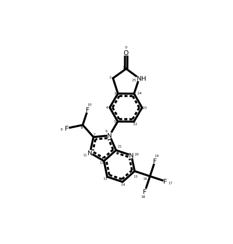 O=C1Cc2cc(-n3c(C(F)F)nc4ccc(C(F)(F)F)nc43)ccc2N1